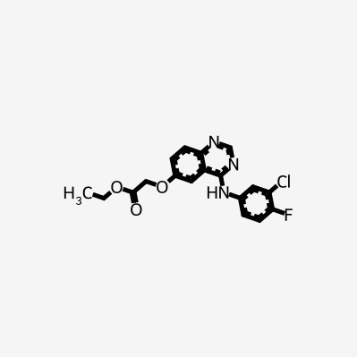 CCOC(=O)COc1ccc2ncnc(Nc3ccc(F)c(Cl)c3)c2c1